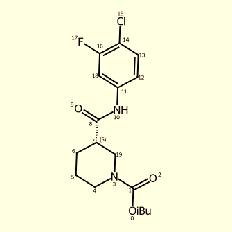 CC(C)COC(=O)N1CCC[C@H](C(=O)Nc2ccc(Cl)c(F)c2)C1